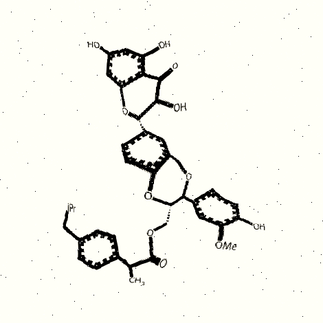 COc1cc(C2Oc3cc([C@@H]4Oc5cc(O)cc(O)c5C(=O)C4O)ccc3O[C@H]2COC(=O)C(C)c2ccc(CC(C)C)cc2)ccc1O